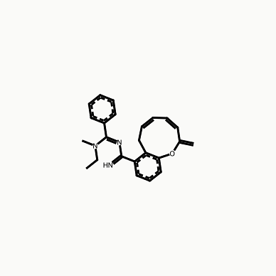 C=C1/C=C\C=C/Cc2c(cccc2C(=N)/N=C(/c2ccccc2)N(C)CC)O1